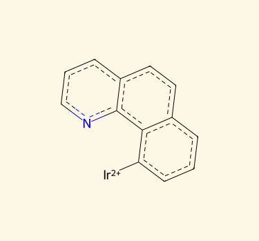 [Ir+2][c]1cccc2ccc3cccnc3c12